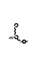 Cl.Cl.Fc1ccc(OCCC2CCN(CCCCCN3CCCCC3)CC2)cc1